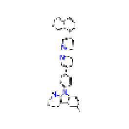 Cc1ccc2c(c1)c1c(n2-c2ccc(-c3ccc(-c4ccc(-c5cccc6ccccc56)cn4)nc3)cc2)N=CCC1